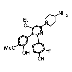 CCOc1cc(N2CCC(N)CC2)nc(-c2ccc(C#N)c(F)c2)c1-c1ccc(OC)c(O)c1